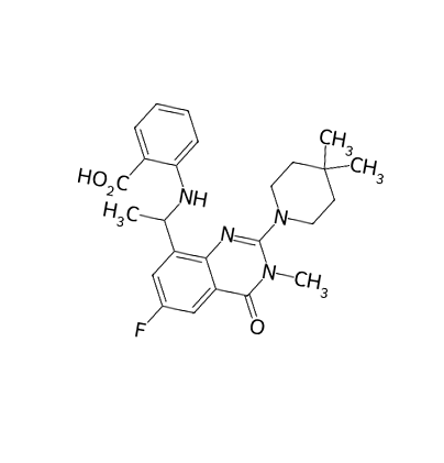 CC(Nc1ccccc1C(=O)O)c1cc(F)cc2c(=O)n(C)c(N3CCC(C)(C)CC3)nc12